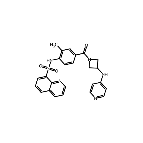 Cc1cc(C(=O)N2CC(Nc3ccncc3)C2)ccc1NS(=O)(=O)c1cccc2cccnc12